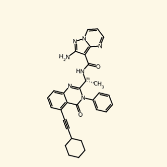 C[C@@H](NC(=O)c1c(N)nn2cccnc12)c1nc2cccc(C#CC3CCCCC3)c2c(=O)n1-c1ccccc1